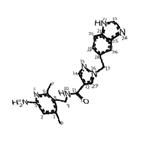 Cc1cc(N)nc(C)c1CNC(=O)c1cnn(Cc2ccc3[nH]cnc3c2)c1